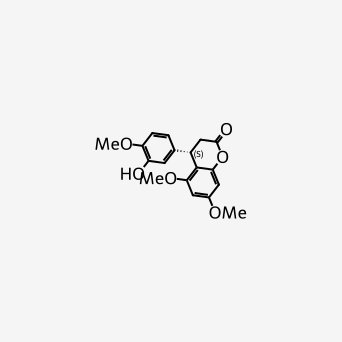 COc1cc(OC)c2c(c1)OC(=O)C[C@H]2c1ccc(OC)c(O)c1